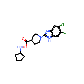 O=C(ONC1CCCC1)C1CCN(c2nc3cc(Cl)c(Cl)cc3[nH]2)CC1